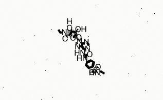 CCNC(=O)[C@H]1O[C@@H](On2cnc3c(NC(=O)Nc4ccc(S(=O)(=O)NCC)cc4)ncnc32)[C@H](O)[C@@H]1O